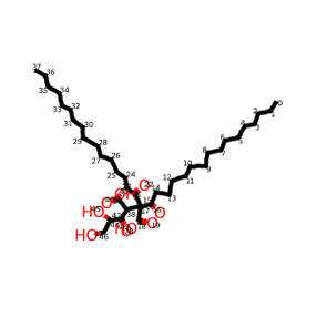 CCCCCCCCCCCCCCCC(=O)C(C(=O)O)(C(=O)CCCCCCCCCCCCCCC)C(C(=O)O)C(=O)C(O)CO